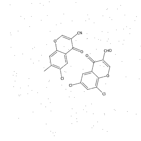 Cc1cc2occ(C#N)c(=O)c2cc1Cl.O=Cc1coc2c(Cl)cc(Cl)cc2c1=O